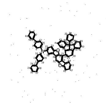 c1ccc(-c2ccc(N(c3ccc(-c4ccccc4)cc3)c3ccc4oc5c(-c6ccc7c(c6)C(c6ccccc6)(c6ccccc6)c6ccccc6-7)c6c(cc5c4c3)oc3ccccc36)cc2)cc1